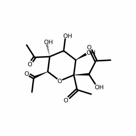 CC(=O)C(O)[C@@]1(C(C)=O)O[C@@H](C(C)=O)[C@@](O)(C(C)=O)[C](O)[C@H]1O